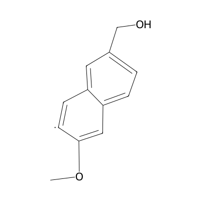 COc1[c]cc2cc(CO)ccc2c1